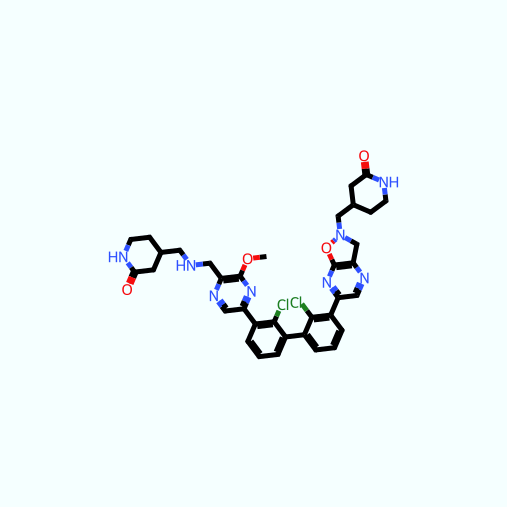 COc1nc(-c2cccc(-c3cccc(-c4cnc5c(n4)ON(CC4CCNC(=O)C4)C5)c3Cl)c2Cl)cnc1CNCC1CCNC(=O)C1